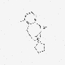 Fc1cccc2c1CC1CCC(C2)C1=[N+]1CCCC1.[Br-]